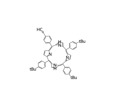 C#Cc1ccc(-c2c3nc(c(-c4ccc(C(C)(C)C)cc4)c4ccc([nH]4)c(-c4ccc(C(C)(C)C)cc4)c4nc(c(-c5ccc(C(C)(C)C)cc5)c5ccc2[nH]5)C=C4)C=C3)cc1